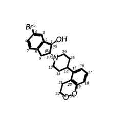 O[C@@H]1c2cc(Br)ccc2C[C@H]1N1CCC(c2cccc3c2CCOO3)CC1